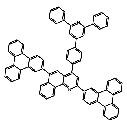 c1ccc(-c2cc(-c3ccc(-c4cc(-c5ccc6c7ccccc7c7ccccc7c6c5)nc5c4cc(-c4ccc6c7ccccc7c7ccccc7c6c4)c4ccccc45)cc3)cc(-c3ccccc3)n2)cc1